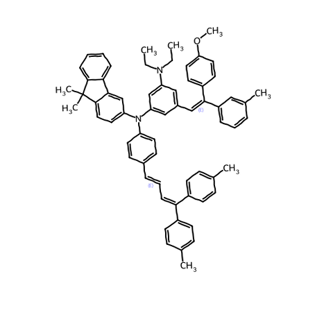 CCN(CC)c1cc(/C=C(\c2ccc(OC)cc2)c2cccc(C)c2)cc(N(c2ccc(/C=C/C=C(c3ccc(C)cc3)c3ccc(C)cc3)cc2)c2ccc3c(c2)-c2ccccc2C3(C)C)c1